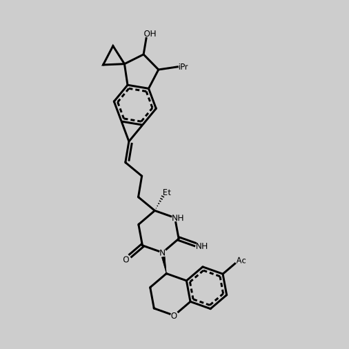 CC[C@@]1(CC/C=C2\c3cc4c(cc32)C2(CC2)C(O)C4C(C)C)CC(=O)N([C@@H]2CCOc3ccc(C(C)=O)cc32)C(=N)N1